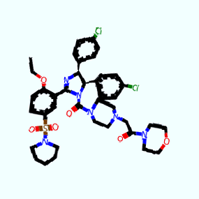 CCOc1ccc(S(=O)(=O)N2CCCCC2)cc1C1=N[C@@H](c2ccc(Cl)cc2)[C@@H](c2ccc(Cl)cc2)N1C(=O)N1CCN(CC(=O)N2CCOCC2)CC1